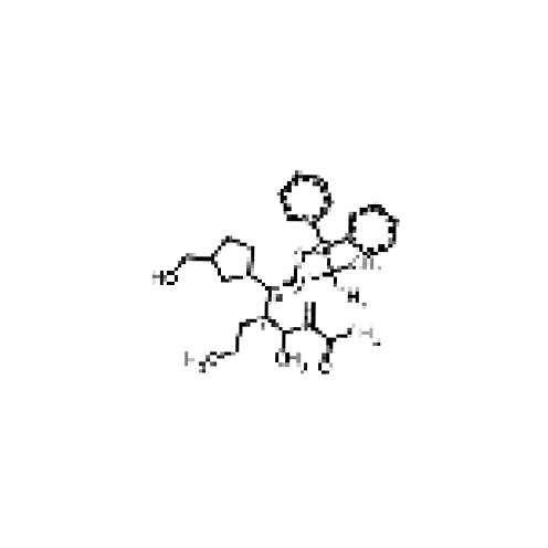 CCC[C@H](C(C)NC(C)=O)[C@H](CO[Si](c1ccccc1)(c1ccccc1)C(C)(C)C)C1CCC(CO)C1